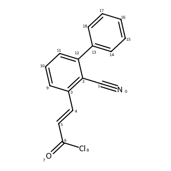 N#Cc1c(/C=C/C(=O)Cl)cccc1-c1ccccc1